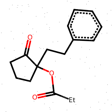 CCC(=O)OC1(CCc2ccccc2)CCCC1=O